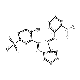 CS(=O)(=O)c1ccc(O)c(N=Nc2ccccc2N=Nc2ccccc2[N+](=O)[O-])c1